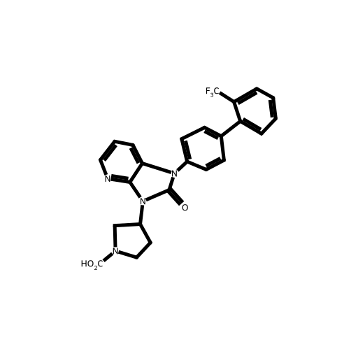 O=C(O)N1CCC(n2c(=O)n(-c3ccc(-c4ccccc4C(F)(F)F)cc3)c3cccnc32)C1